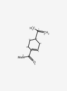 C=C(C)C1CC=C(C(=O)NC)CC1